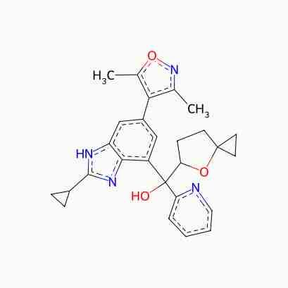 Cc1noc(C)c1-c1cc(C(O)(c2ccccn2)C2CCC3(CC3)O2)c2nc(C3CC3)[nH]c2c1